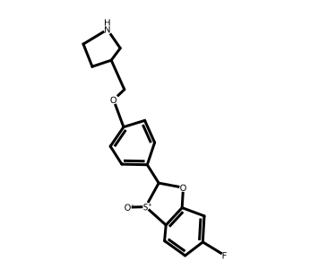 [O-][S+]1c2ccc(F)cc2OC1c1ccc(OCC2CCNC2)cc1